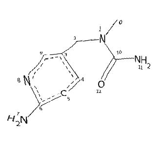 CN(Cc1ccc(N)nc1)C(N)=O